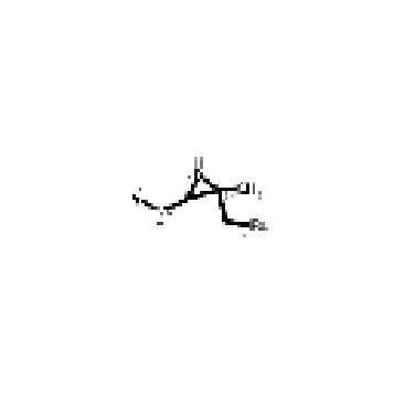 CCC(C)CC1(C)BC1NC(C)C